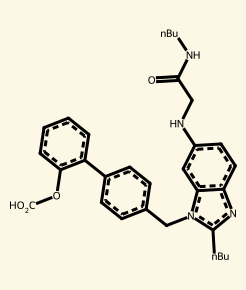 CCCCNC(=O)CNc1ccc2nc(CCCC)n(Cc3ccc(-c4ccccc4OC(=O)O)cc3)c2c1